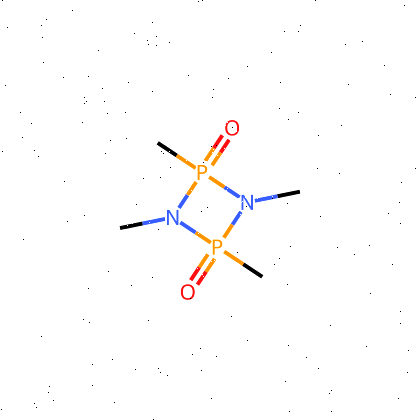 CN1P(C)(=O)N(C)P1(C)=O